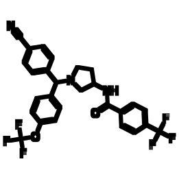 N#Cc1ccc(C(c2ccc(OC(F)(F)F)cc2)N2CCC(NC(=O)c3ccc(C(F)(F)F)cc3)C2)cc1